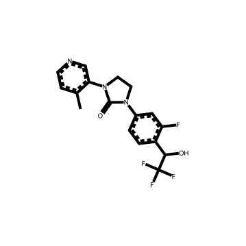 Cc1ccncc1N1CCN(c2ccc(C(O)C(F)(F)F)c(F)c2)C1=O